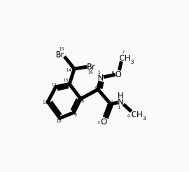 CNC(=O)C(=NOC)c1ccccc1C(Br)Br